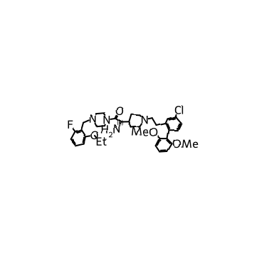 CCOc1cccc(F)c1CN1CCN(C(=O)[C@H](N)C2CCN(CCc3cc(Cl)ccc3-c3c(OC)cccc3OC)CC2)CC1